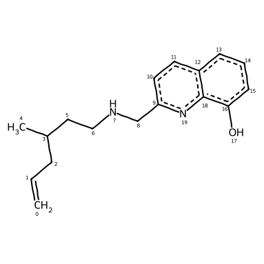 C=CCC(C)CCNCc1ccc2cccc(O)c2n1